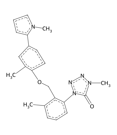 Cc1cc(-c2cccn2C)ccc1OCc1c(C)cccc1-n1nnn(C)c1=O